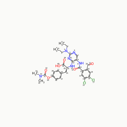 CCN(CC)c1ncc(NC(=O)c2cc(Cl)c(Cl)cc2C=O)c(N[C@@H](Cc2ccc(OC(=O)N(C)C)cc2)C(=O)O)n1